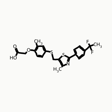 Cc1cc(SCc2sc(-c3ccc(C(C)(F)F)cc3)nc2C)ccc1OCC(=O)O